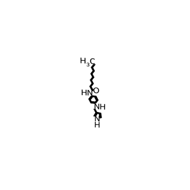 CCCCCCCCCC(=O)Nc1ccc(NCc2cc[nH]c2)cc1